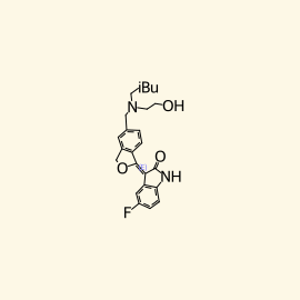 CCC(C)CN(CCO)Cc1ccc2c(c1)CO/C2=C1/C(=O)Nc2ccc(F)cc21